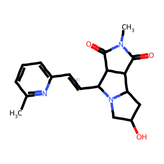 Cc1cccc(/C=C/C2C3C(=O)N(C)C(=O)C3C3CC(O)CN23)n1